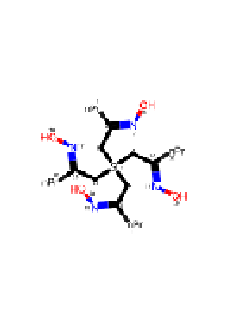 CCCC(C[Si](CC(CCC)=NO)(CC(CCC)=NO)CC(CCC)=NO)=NO